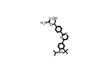 CC(C)Nc1ccc(-c2ccnc(-c3ccc(C(CO)OC(N)=O)cc3)n2)cc1C(C)(C)C